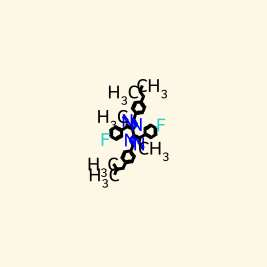 CC(C)Cc1ccc(-c2nc(-c3nc(-c4ccc(CC(C)C)cc4)n(C)c3-c3ccc(F)cc3)c(-c3ccc(F)cc3)n2C)cc1